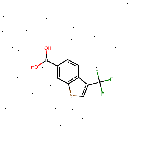 OB(O)c1ccc2c(C(F)(F)F)csc2c1